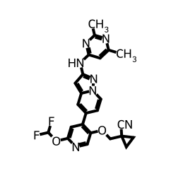 Cc1cc(Nc2cc3cc(-c4cc(OC(F)F)ncc4OCC4(C#N)CC4)ccn3n2)nc(C)n1